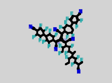 CCC(F)C(C(C)C(F)C(F)C(/C(C#N)=C1/C(=C(C#N)C2C(F)C(F)CC(c3c(F)c(F)c(C#N)c(F)c3F)C(F)C2F)/C1=C(/C#N)C1C(F)C(F)C(C2C(F)C(F)C(C#N)[C@H](F)C2F)C(F)C1F)C(F)CF)C(F)C(F)C(C#N)CF